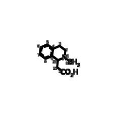 BN1CCc2ccccc2C1CC(=O)O